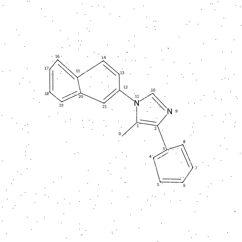 Cc1c(-c2ccccc2)ncn1-c1ccc2ccccc2c1